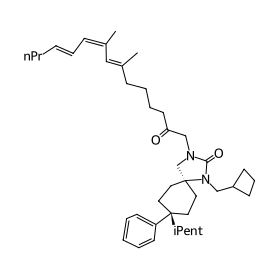 CCC/C=C/C=C(C)\C=C(/C)CCCCC(=O)CN1C[C@]2(CC[C@](c3ccccc3)(C(C)CCC)CC2)N(CC2CCC2)C1=O